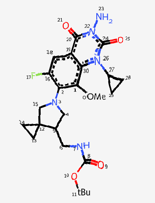 COc1c(N2CC(CNC(=O)OC(C)(C)C)C3(CC3)C2)c(F)cc2c(=O)n(N)c(=O)n(C3CC3)c12